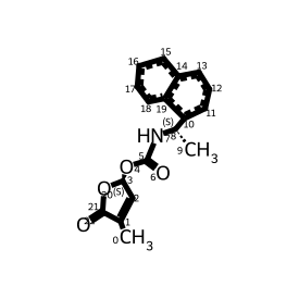 CC1=C[C@H](OC(=O)N[C@@H](C)c2cccc3ccccc23)OC1=O